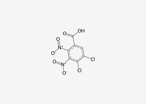 O=C(O)c1cc(Cl)c(Cl)c([N+](=O)[O-])c1[N+](=O)[O-]